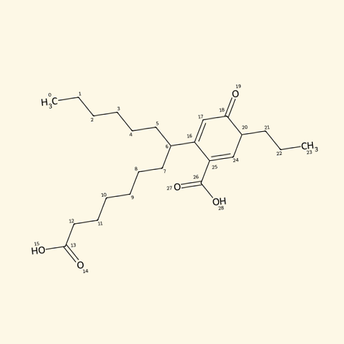 CCCCCCC(CCCCCCC(=O)O)C1=CC(=O)C(CCC)C=C1C(=O)O